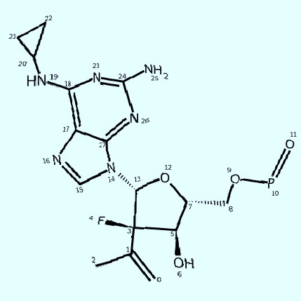 C=C(C)[C@@]1(F)[C@H](O)[C@@H](COP=O)O[C@H]1n1cnc2c(NC3CC3)nc(N)nc21